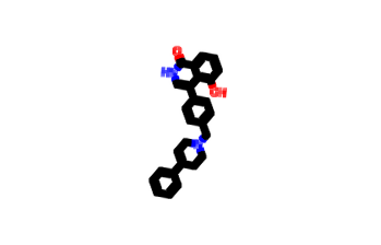 O=c1[nH]cc(-c2ccc(CN3CC=C(c4ccccc4)CC3)cc2)c2c(O)cccc12